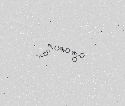 CCN(CC[n+]1ccn(C)c1)c1ccc(N=Nc2ccc(/C=N/N=C(c3ccccc3)c3ccccc3)cc2)cc1